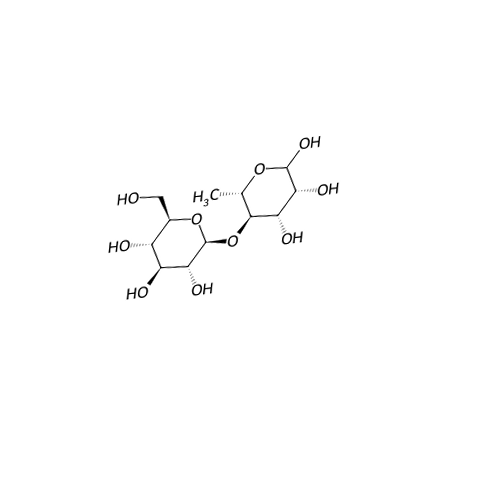 C[C@@H]1OC(O)[C@H](O)[C@H](O)[C@H]1O[C@@H]1O[C@H](CO)[C@@H](O)[C@H](O)[C@H]1O